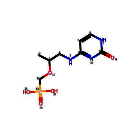 CC(CNc1cc[nH]c(=O)n1)OCP(=O)(O)O